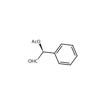 CC(=O)O[C@H]([C]=O)c1ccccc1